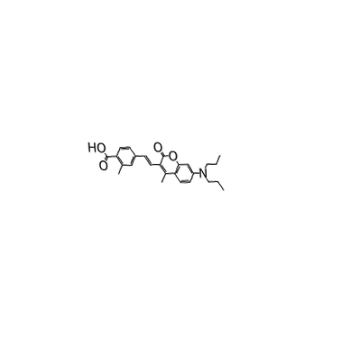 CCCN(CCC)c1ccc2c(C)c(/C=C/c3ccc(C(=O)O)c(C)c3)c(=O)oc2c1